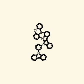 c1cc(-n2c3ccccc3c3ccccc32)cc(-n2c3ccccc3c3c4cccc5c4n(c32)-c2cccc3c2B5c2ccccc2O3)c1